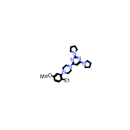 CCc1ccc(OC)cc1N1CCN(c2cc(N3CCCC3)nc(N3CCCC3)n2)CC1